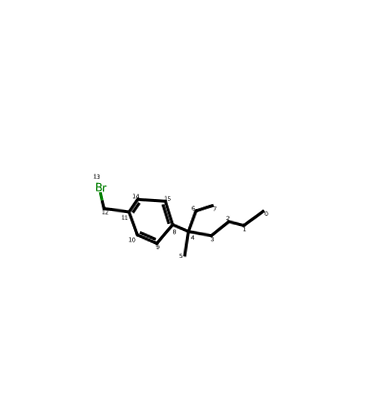 CCCCC(C)(CC)c1ccc(CBr)cc1